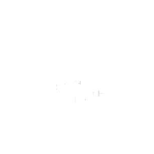 CC[Si](CC)(CC)[C]1CCCCCC1